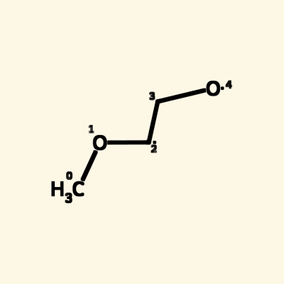 CO[CH]C[O]